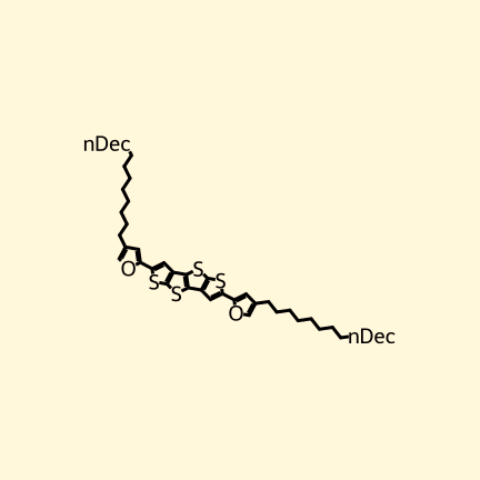 CCCCCCCCCCCCCCCCCCc1coc(-c2cc3c(s2)sc2c4cc(-c5cc(CCCCCCCCCCCCCCCCCC)co5)sc4sc32)c1